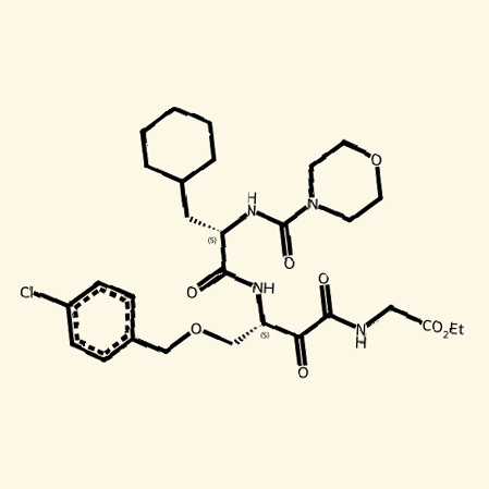 CCOC(=O)CNC(=O)C(=O)[C@H](COCc1ccc(Cl)cc1)NC(=O)[C@H](CC1CCCCC1)NC(=O)N1CCOCC1